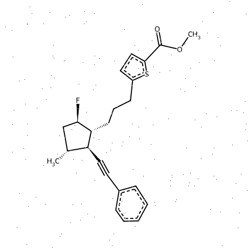 COC(=O)c1ccc(CCC[C@@H]2[C@@H](C#Cc3ccccc3)[C@H](C)C[C@H]2F)s1